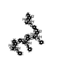 Cc1ccc(C(NC(=O)COc2ccccc2)c2cc(Cl)c3cccnc3c2O)o1.O=C(COc1ccccc1)NC(c1ccc(-c2ccccc2)o1)c1cc(Cl)c2cccnc2c1O.O=C(COc1ccccc1)NC(c1ccco1)c1cc(Cl)c2cccnc2c1O.O=C(COc1ccccc1)NC(c1ccoc1)c1cc(Cl)c2cccnc2c1O